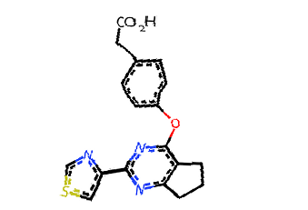 O=C(O)Cc1ccc(Oc2nc(-c3cscn3)nc3c2CCC3)cc1